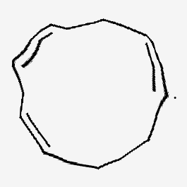 [C]1=CCC=CC=CCC1